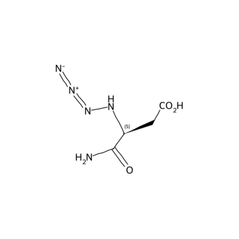 [N-]=[N+]=NN[C@@H](CC(=O)O)C(N)=O